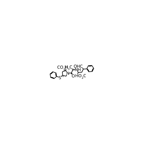 C[C@H](NC(CC(C=O)c1ccccc1)C(=O)O)C(=O)N1C[C@@H](Sc2ccccc2)C[C@H]1C(=O)O